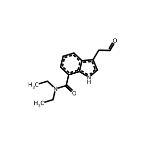 CCN(CC)C(=O)c1cccc2c(CC=O)c[nH]c12